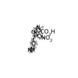 CC1=C(C(=O)O)C(c2cccc([N+](=O)[O-])c2)C(C(=O)OCC=Cc2ccc(Cn3ccnc3)cc2)=C(C)N1C